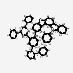 c1ccc(-c2nc(-c3ccccc3)nc(-c3cc(-c4ccccc4-c4ccccc4)ccc3-c3ccc4oc5ccc6c7ccccc7n(-c7ccccc7)c6c5c4c3)n2)cc1